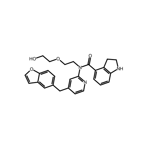 O=C(c1cccc2c1CCN2)N(CCOCCO)c1cc(Cc2ccc3occc3c2)ccn1